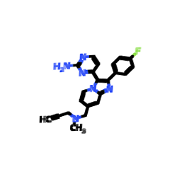 C#CCN(C)Cc1ccn2c(-c3ccnc(N)n3)c(-c3ccc(F)cc3)nc2c1